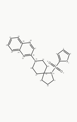 O=S(=O)(c1cccs1)N1CCCC12CCN(c1cnc3ccccc3n1)CC2